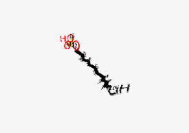 CCCCCCCCCCCCOS(=O)O.[LiH]